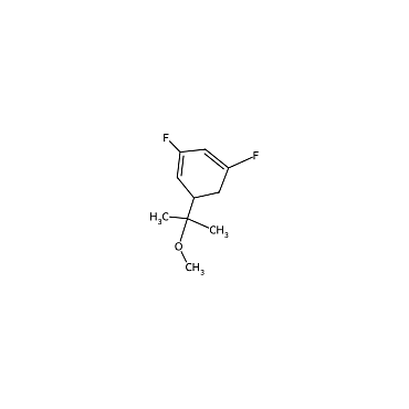 COC(C)(C)C1C=C(F)C=C(F)C1